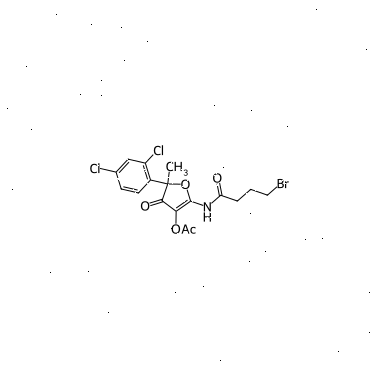 CC(=O)OC1=C(NC(=O)CCCBr)OC(C)(c2ccc(Cl)cc2Cl)C1=O